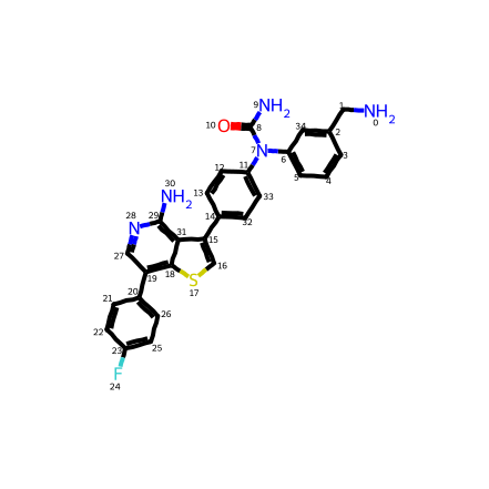 NCc1cccc(N(C(N)=O)c2ccc(-c3csc4c(-c5ccc(F)cc5)cnc(N)c34)cc2)c1